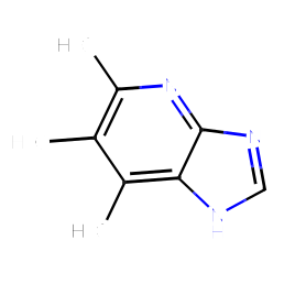 Cc1nc2n[c][nH]c2c(C)c1C